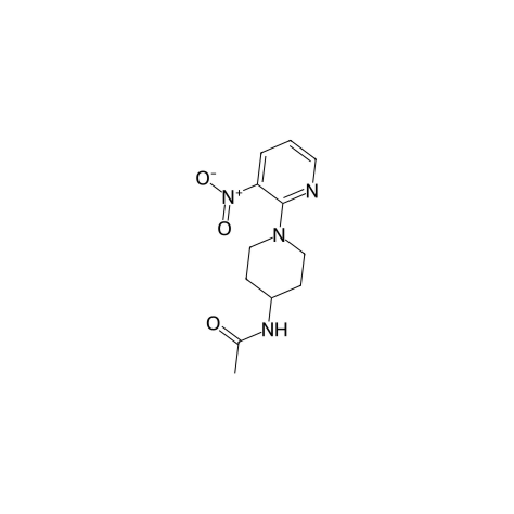 CC(=O)NC1CCN(c2ncccc2[N+](=O)[O-])CC1